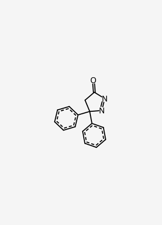 O=C1CC(c2ccccc2)(c2ccccc2)N=N1